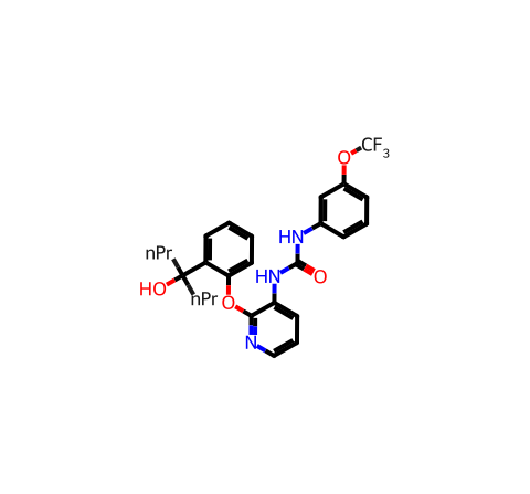 CCCC(O)(CCC)c1ccccc1Oc1ncccc1NC(=O)Nc1cccc(OC(F)(F)F)c1